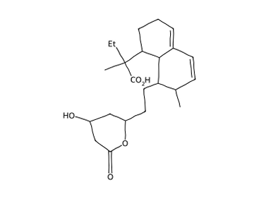 CCC(C)(C(=O)O)C1CCC=C2C=CC(C)C(CCC3CC(O)CC(=O)O3)C21